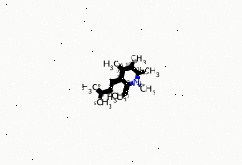 C/C=C1\C(=C/C(C)C(C)C)C(C)C(C)C(C)N1C